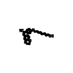 N#CC(=Cc1ccc2c(c1)OCCO2)c1ccc(OCCCCCCCCO)cc1